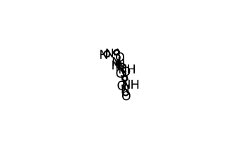 CCn1c(Oc2cccc(N3CCN(C)CC3)c2)nnc1[C@@H](C)NS(=O)(=O)c1ccc(NC(=O)N2CCOCC2)cc1